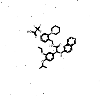 CCOc1cc(C(Nc2ccc3cnccc3c2)C(=O)NCc2ccccc2N2CCCCC2)ccc1OC(C)C.O=C(O)C(F)(F)F